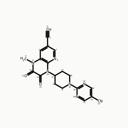 C#Cc1cnc2c(c1)n(C)c(=O)c(=O)n2C1CCN(c2ncc(C#N)cn2)CC1